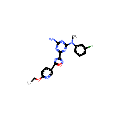 CN(c1cccc(Cl)c1)c1nc(N)nc(-c2noc(-c3ccc(OCC(F)(F)F)nc3)n2)n1